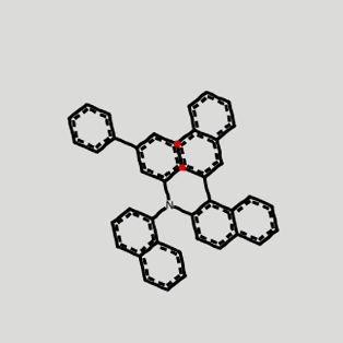 c1ccc(-c2cccc(N(c3ccc4ccccc4c3-c3ccc4ccccc4c3)c3cccc4ccccc34)c2)cc1